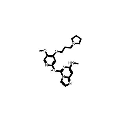 CNc1cc2nccn2c(Nc2cc(OCCCN3CCCC3)c(OC)cn2)n1